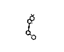 CC1(C)CCc2nc(C#Cc3cccc(N4CCCCC4)c3)ccc2C1